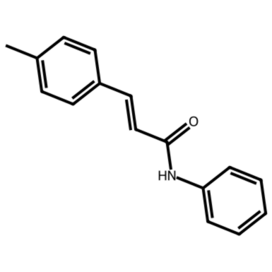 Cc1ccc(C=CC(=O)Nc2ccccc2)cc1